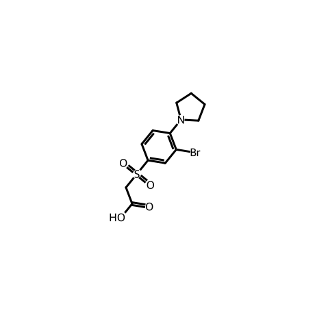 O=C(O)CS(=O)(=O)c1ccc(N2CCCC2)c(Br)c1